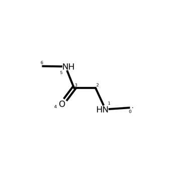 [CH2]NCC(=O)NC